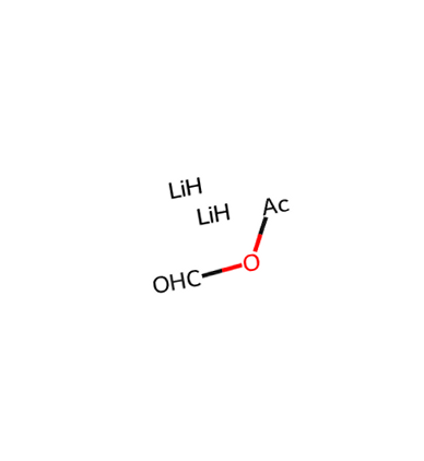 CC(=O)OC=O.[LiH].[LiH]